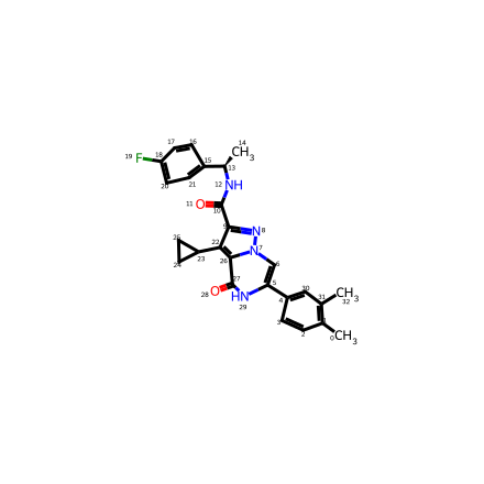 Cc1ccc(-c2cn3nc(C(=O)N[C@H](C)c4ccc(F)cc4)c(C4CC4)c3c(=O)[nH]2)cc1C